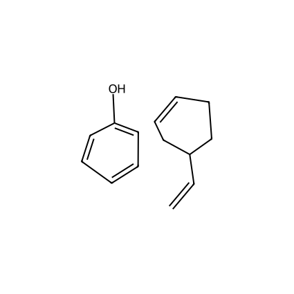 C=CC1CC=CCC1.Oc1ccccc1